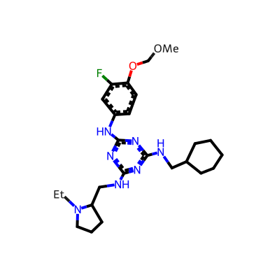 CCN1CCCC1CNc1nc(NCC2CCCCC2)nc(Nc2ccc(OCOC)c(F)c2)n1